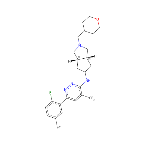 CC(C)c1ccc(F)c(-c2cc(C(F)(F)F)c(NC3C[C@@H]4CN(CC5CCOCC5)C[C@@H]4C3)nn2)c1